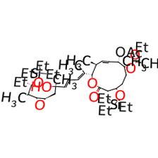 CCO[C@@H](C)O[C@]1(C)CC[C@@H](O[Si](CC)(CC)CC)CC(=O)O[C@H](/C(C)=C/C=C/[C@](C)(O)C[C@H]2O[C@@H]2[C@H](C)[C@H](CC)O[Si](CC)(CC)CC)[C@@H](C)/C=C/[C@@H]1OC(C)=O